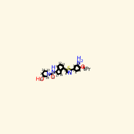 CC(C)Oc1ccc(-c2ncc(-c3cccc4c3CC[C@@H]4NC(=O)N3CCC[C@H](O)C3)s2)cc1N